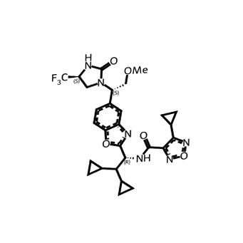 COC[C@H](c1ccc2oc([C@H](NC(=O)c3nonc3C3CC3)C(C3CC3)C3CC3)nc2c1)N1C[C@@H](C(F)(F)F)NC1=O